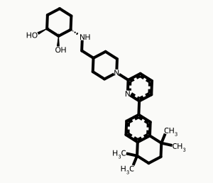 CC1(C)CCC(C)(C)c2cc(-c3cccc(N4CCC(CN[C@H]5CCC[C@H](O)[C@@H]5O)CC4)n3)ccc21